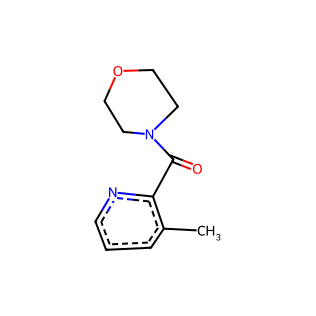 Cc1cccnc1C(=O)N1CCOCC1